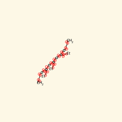 C=CC(=O)OCCCCOC(=O)C1CCC(C(=O)Oc2ccc(OC(=O)C3CCC(C(=O)Oc4ccc(OC(=O)C5CCC(C(=O)Oc6ccc(OC(=O)C7CCC(C(=O)OCCCCOC(=O)C=C)CC7)c(C(=O)OCCOCC)c6)CC5)c(C(=O)OCCOCC)c4)CC3)cc2C(=O)OCCOCC)CC1